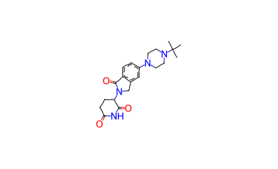 CC(C)(C)N1CCN(c2ccc3c(c2)CN(C2CCC(=O)NC2=O)C3=O)CC1